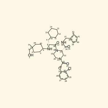 CC1(CO)CCC(N[C@H](CC2CCCCC2)C(=O)N2CCN(C(=O)Oc3ccccc3Cl)C[C@H]2C(=O)NCc2cccs2)CC1